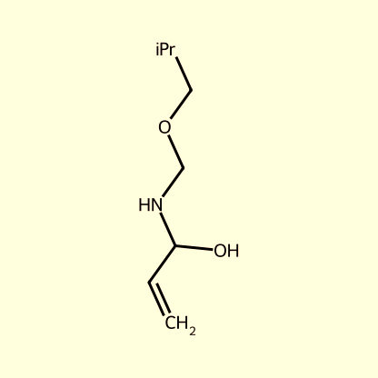 C=CC(O)NCOCC(C)C